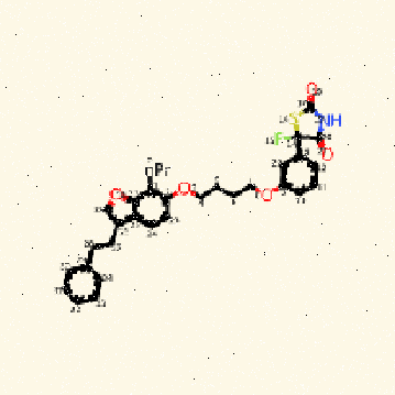 CCCc1c(OCCCCOc2cccc(C3(F)SC(=O)NC3=O)c2)ccc2c(CCc3ccccc3)coc12